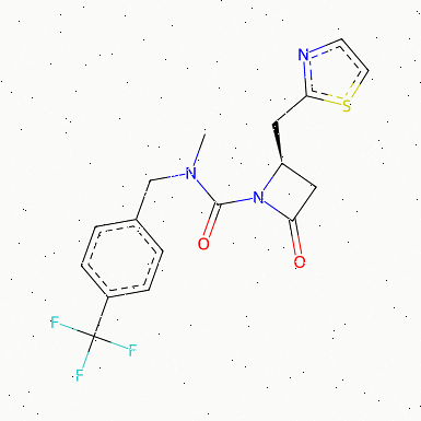 CN(Cc1ccc(C(F)(F)F)cc1)C(=O)N1C(=O)C[C@@H]1Cc1nccs1